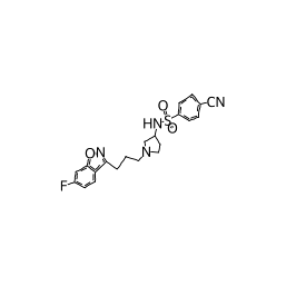 N#Cc1ccc(S(=O)(=O)NC2CCN(CCCc3noc4cc(F)ccc34)C2)cc1